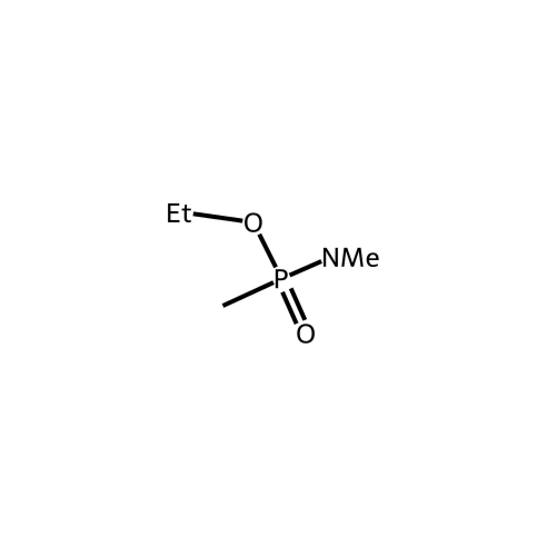 CCOP(C)(=O)NC